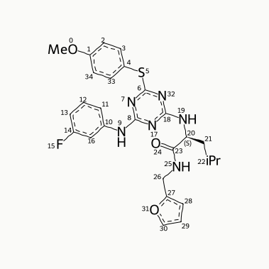 COc1ccc(Sc2nc(Nc3cccc(F)c3)nc(N[C@@H](CC(C)C)C(=O)NCc3ccco3)n2)cc1